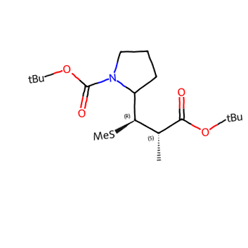 CS[C@@H](C1CCCN1C(=O)OC(C)(C)C)[C@@H](C)C(=O)OC(C)(C)C